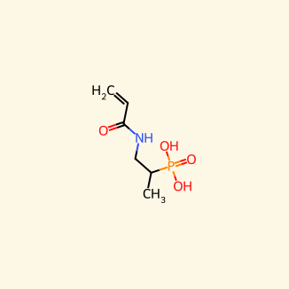 C=CC(=O)NCC(C)P(=O)(O)O